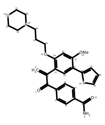 C=C(C(=O)c1ccc(C(N)=O)cc1)c1cc(-c2cccs2)c(OC)cc1OCCCN1CCOCC1